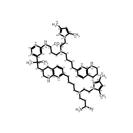 CC(=O)[C@@H](N)CCN(CCCCc1ccc2c(n1)NCC(CC(C)(C)c1cc(N[C@@H](CCN(CCCCc3ccc4c(n3)NCCC4)CCn3nc(C)cc3C)C(=O)O)ncn1)C2)CCn1nc(C)cc1C